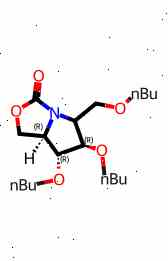 CCCCOCC1[C@@H](OCCCC)[C@H](OCCCC)[C@H]2COC(=O)N12